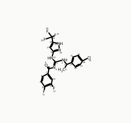 CC(N/C(=N/C(=O)c1ccc(F)c(F)c1)Nc1cc(C(F)(F)F)[nH]n1)c1ccc(Cl)cc1